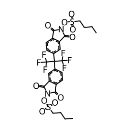 CCCCS(=O)(=O)ON1C(=O)c2ccc(C(c3ccc4c(c3)C(=O)N(OS(=O)(=O)CCCC)C4=O)(C(F)(F)F)C(F)(F)F)cc2C1=O